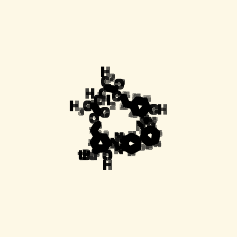 C=C(C)C(=O)OCCc1cc(-n2nc3ccccc3n2)c(O)c(C(C)(C)C)c1.C=C(C)C(=O)OCCc1ccc(O)c(-n2nc3ccccc3n2)c1